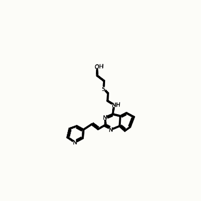 OCCSCCNc1nc(C=Cc2cccnc2)nc2ccccc12